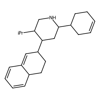 CC(C)C1CNC(C2CC=CCC2)CC1C1C=C2C=CC=CC2CC1